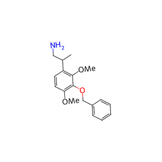 COc1ccc(C(C)CN)c(OC)c1OCc1ccccc1